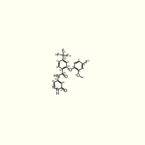 COc1cc(F)ccc1Oc1cc(C(F)(F)F)ccc1C(=O)Nc1cn[nH]c(=O)c1